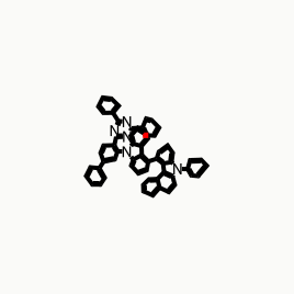 c1ccc(-c2ccc(-c3nc(-c4ccccc4)nc(-c4ccccc4)n3)c(-n3c4ccccc4c4c(-c5cccc6c5c5c7ccccc7ccc5n6-c5ccccc5)cccc43)c2)cc1